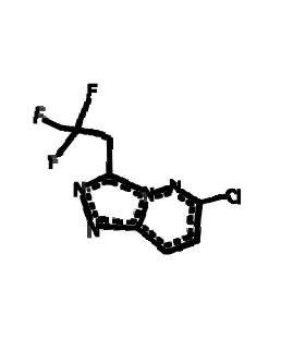 FC(F)(F)Cc1nnc2ccc(Cl)nn12